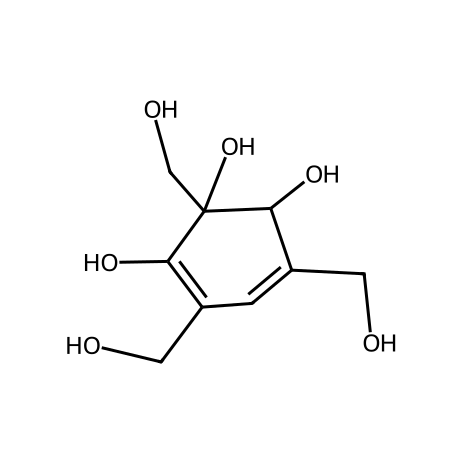 OCC1=CC(CO)=C(O)C(O)(CO)C1O